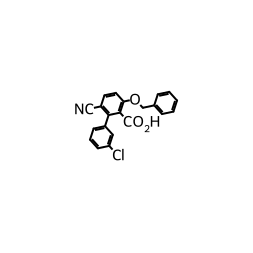 N#Cc1ccc(OCc2ccccc2)c(C(=O)O)c1-c1cccc(Cl)c1